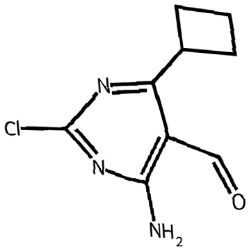 Nc1nc(Cl)nc(C2CCC2)c1C=O